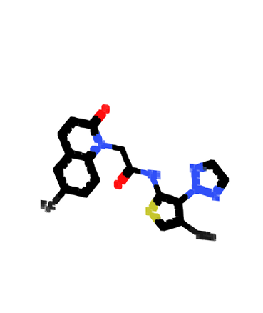 CNc1csc(NC(=O)Cn2c(=O)ccc3cc(C(F)(F)F)ccc32)c1-n1nccn1